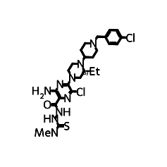 CC[C@H]1CN(c2nc(N)c(C(=O)NNC(=S)NC)nc2Cl)CCN1C1CCN(Cc2ccc(Cl)cc2)CC1